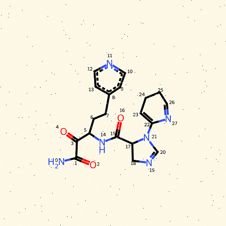 NC(=O)C(=O)C(CCc1ccncc1)NC(=O)C1CN=CN1C1=CCCC=N1